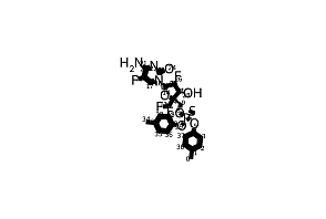 Cc1ccc(OP(=S)(OC[C@@]2(C(F)F)O[C@@H](n3cc(F)c(N)nc3=O)[C@H](F)[C@@H]2O)Oc2ccc(C)cc2)cc1